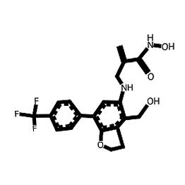 C=C(CNc1cc(-c2ccc(C(F)(F)F)cc2)c2c(c1CO)CCO2)C(=O)NO